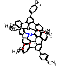 Cc1ccc(-c2cc(-c3ccc(C)cc3)c(B3c4cc(C(C)(C)C)cc5c4-n4c6c3cc(C(C)(C)C)cc6c3cc(C(C)(C)C)cc(c34)B5c3c(-c4ccc(C)cc4)cc(-c4ccc(C)cc4)cc3-c3ccc(C)cc3)c(-c3ccc(C)cc3)c2)cc1